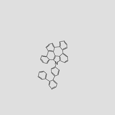 c1ccc(-c2ccccc2-c2ccc(-n3c4cccc5c4c4c6c(cccc6c6ccccc6c43)-c3ccccc3-5)cc2)cc1